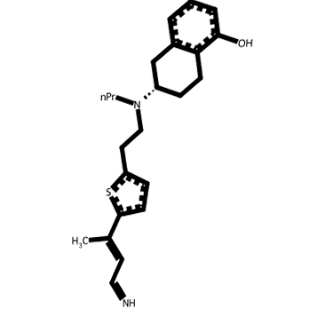 CCCN(CCc1ccc(/C(C)=C/C=N)s1)[C@H]1CCc2c(O)cccc2C1